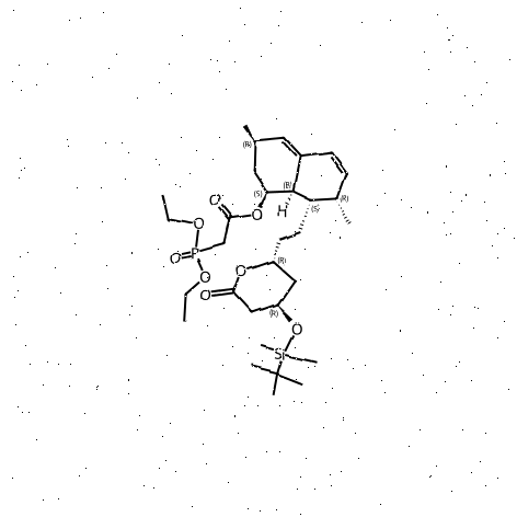 CCOP(=O)(CC(=O)O[C@H]1C[C@@H](C)C=C2C=C[C@H](C)[C@H](CC[C@@H]3C[C@@H](O[Si](C)(C)C(C)(C)C)CC(=O)O3)[C@H]21)OCC